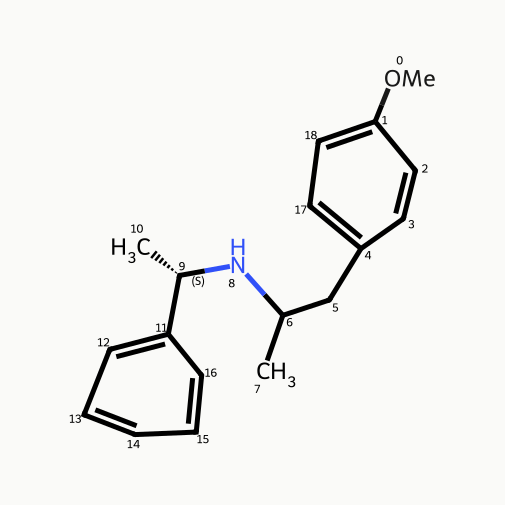 COc1ccc(CC(C)N[C@@H](C)c2ccccc2)cc1